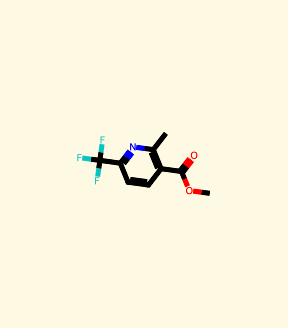 COC(=O)c1ccc(C(F)(F)F)nc1C